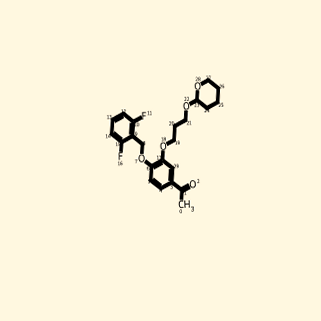 CC(=O)c1ccc(OCc2c(F)cccc2F)c(OCCCOC2CCCCO2)c1